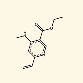 C=Cc1cc(NC)c(C(=O)OCC)cn1